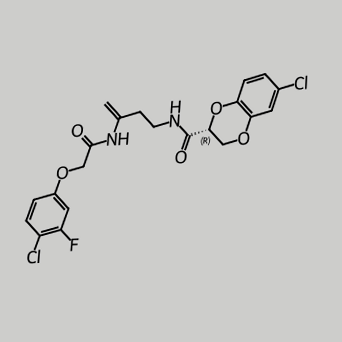 C=C(CCNC(=O)[C@H]1COc2cc(Cl)ccc2O1)NC(=O)COc1ccc(Cl)c(F)c1